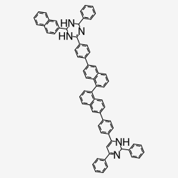 C1=C(c2ccc(-c3ccc4c(-c5cccc6cc(-c7ccc(C8=NC(c9ccccc9)NC(c9ccc%10ccccc%10c9)N8)cc7)ccc56)cccc4c3)cc2)NC(c2ccccc2)N=C1c1ccccc1